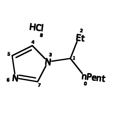 CCCCCC(CC)n1ccnc1.Cl